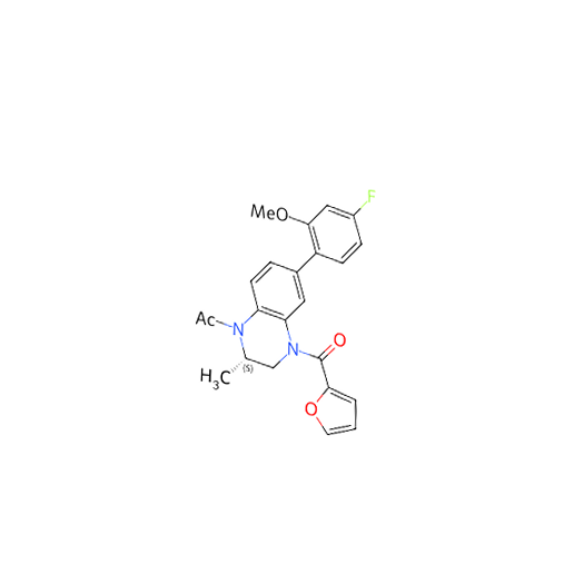 COc1cc(F)ccc1-c1ccc2c(c1)N(C(=O)c1ccco1)C[C@H](C)N2C(C)=O